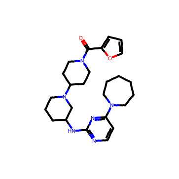 O=C(c1ccco1)N1CCC(N2CCCC(Nc3nccc(N4CCCCCC4)n3)C2)CC1